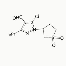 CCCc1nn(C2CCS(=O)(=O)C2)c(Cl)c1C=O